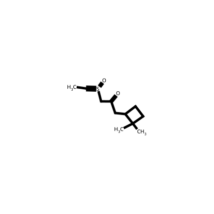 CC#S(=O)CC(=O)CC1CCC1(C)C